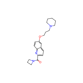 O=C(c1ccc2cc(OCCCN3CCCCC3)ccc2n1)N1CCC1